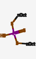 CCCCCCCCSP(=S)(S)SCCCCCCCC